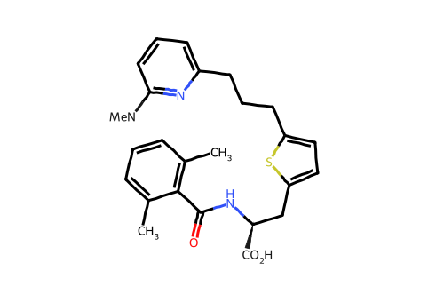 CNc1cccc(CCCc2ccc(C[C@H](NC(=O)c3c(C)cccc3C)C(=O)O)s2)n1